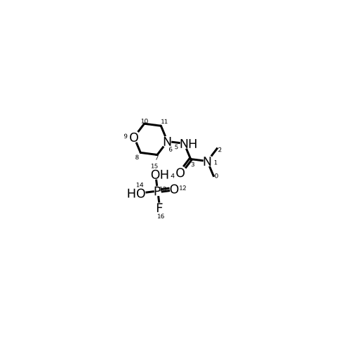 CN(C)C(=O)NN1CCOCC1.O=P(O)(O)F